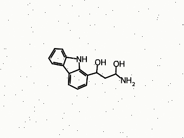 NC(O)CC(O)c1cccc2c1[nH]c1ccccc12